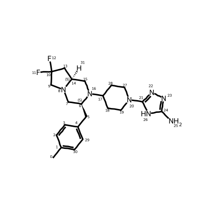 Cc1ccc(C[C@H]2CN3CC(F)(F)C[C@H]3CN2C2CCN(c3nnc(N)[nH]3)CC2)cc1